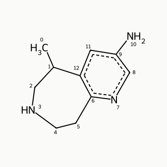 CC1CNCCc2ncc(N)cc21